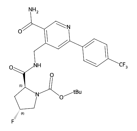 CC(C)(C)OC(=O)N1C[C@H](F)C[C@H]1C(=O)NCc1cc(-c2ccc(C(F)(F)F)cc2)ncc1C(N)=O